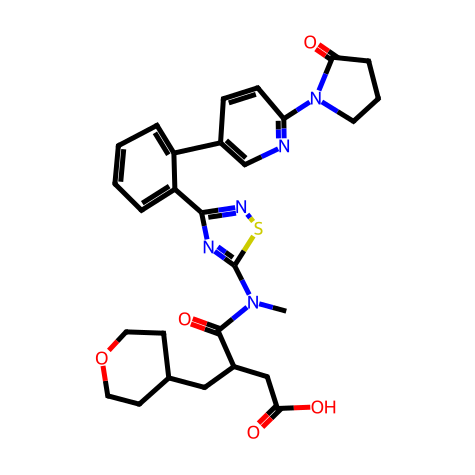 CN(C(=O)C(CC(=O)O)CC1CCOCC1)c1nc(-c2ccccc2-c2ccc(N3CCCC3=O)nc2)ns1